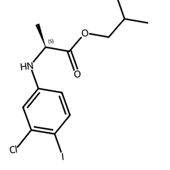 CC(C)COC(=O)[C@H](C)Nc1ccc(I)c(Cl)c1